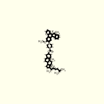 COc1cc2c(cc1N1CCN(C(=O)OC3CCC4(C)C(=CCC5C4CCC4(C)C(C(C)CCCC(C)C)CCC54)C3)CC1)C1=C(C3=CC=COC32)C(C)(C)c2ccccc21